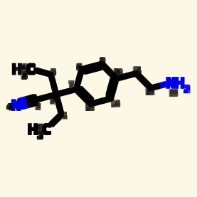 CCC(C#N)(CC)c1ccc(CCN)cc1